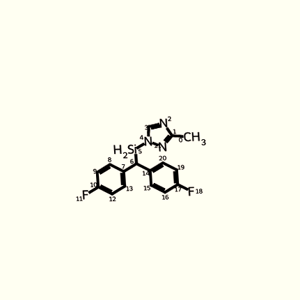 Cc1ncn([SiH2]C(c2ccc(F)cc2)c2ccc(F)cc2)n1